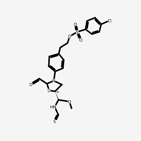 COC(NC=S)[C@H]1CN(c2ccc(CCOS(=O)(=O)c3ccc(Cl)cc3)cc2)C(C=O)O1